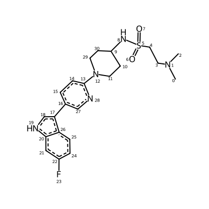 CN(C)CCS(=O)(=O)NC1CCN(c2ccc(-c3c[nH]c4cc(F)ccc34)cn2)CC1